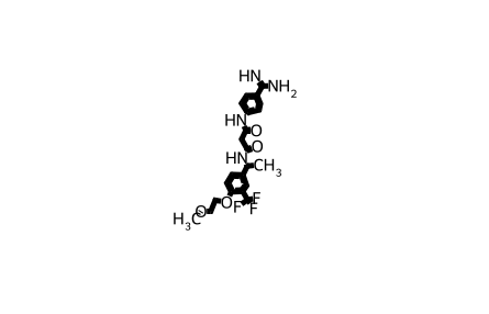 COCCOc1ccc(C(C)NC(=O)CC(=O)Nc2ccc(C(=N)N)cc2)cc1C(F)(F)F